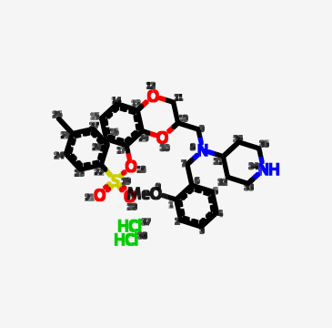 COc1ccccc1CN(CC1COc2cccc(OS(=O)(=O)c3ccc(C)cc3)c2O1)C1CCNCC1.Cl.Cl